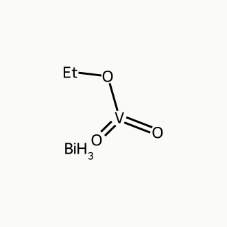 CC[O][V](=[O])=[O].[BiH3]